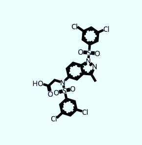 Cc1nn(S(=O)(=O)c2cc(Cl)cc(Cl)c2)c2ccc(N(CC(=O)O)S(=O)(=O)c3cc(Cl)cc(Cl)c3)cc12